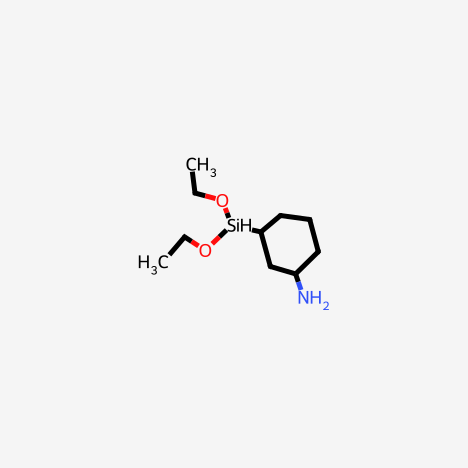 CCO[SiH](OCC)C1CCCC(N)C1